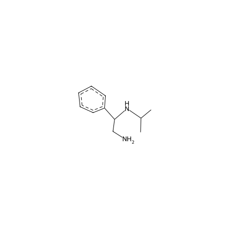 CC(C)NC(CN)c1ccccc1